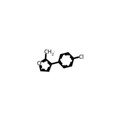 [CH2]c1occc1-c1ccc(Cl)cc1